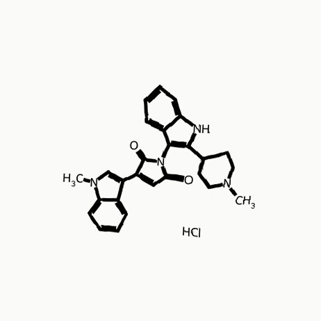 CN1CCC(c2[nH]c3ccccc3c2N2C(=O)C=C(c3cn(C)c4ccccc34)C2=O)CC1.Cl